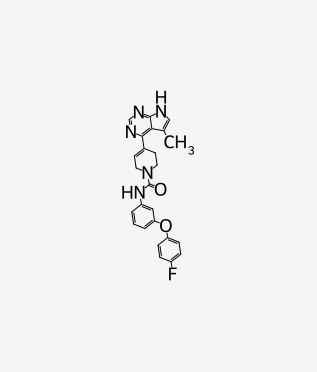 Cc1c[nH]c2ncnc(C3=CCN(C(=O)Nc4cccc(Oc5ccc(F)cc5)c4)CC3)c12